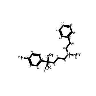 CCCN(CCCC(C#N)(c1ccc(F)cc1)C(C)C)CCc1ccccc1